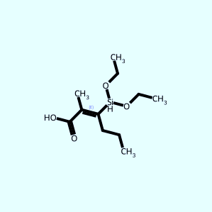 CCC/C(=C(/C)C(=O)O)[SiH](OCC)OCC